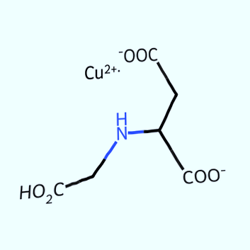 O=C([O-])CC(NCC(=O)O)C(=O)[O-].[Cu+2]